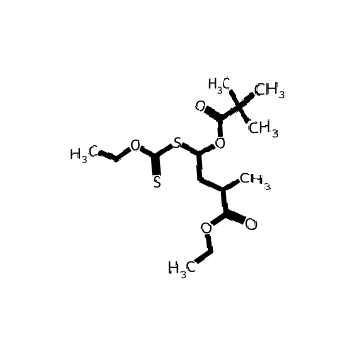 CCOC(=O)C(C)CC(OC(=O)C(C)(C)C)SC(=S)OCC